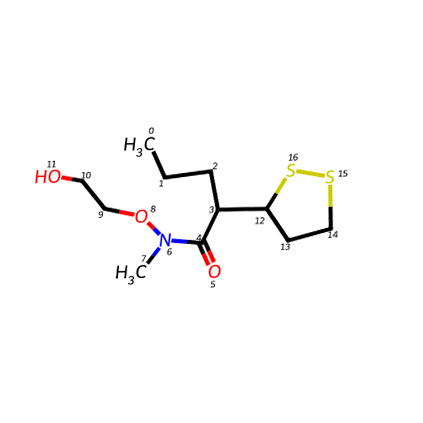 CCCC(C(=O)N(C)OCCO)C1CCSS1